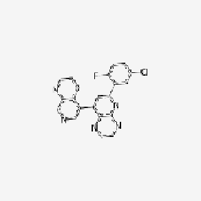 Fc1ccc(Cl)cc1-c1cc(-c2cncc3ncccc23)c2nccnc2n1